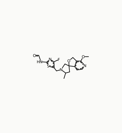 COc1nccc2c1COC21CC(C)N(Cc2sc(NC=O)nc2F)C1